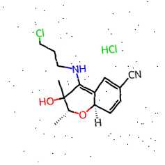 C[C@H]1O[C@@H]2C=CC(C#N)=CC2=C(NCCCCl)C1(C)O.Cl